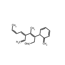 C=CC(=C\C=C/C)/C(C)=C(\CC=O)N1C=CC=CC1=C